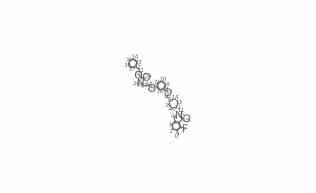 Cc1ccc2c(c1F)C(=O)N(C[C@H]1CC[C@H](COc3cccc(OCCN(C)C(=O)OCc4ccccc4)c3)CC1)C2